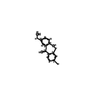 Cc1ccc2c(c1)COc1ccc(CO)cc1C2=O